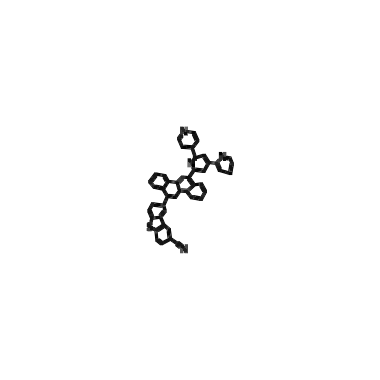 N#Cc1ccc2sc3ccc(-c4cc5c6ccccc6c(-c6cc(-c7ccccn7)cc(-c7ccncc7)n6)cc5c5ccccc45)cc3c2c1